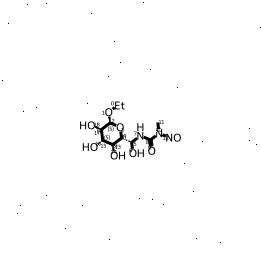 CCO[C@H]1O[C@H](C(O)NC(=O)N(C)N=O)[C@@H](O)[C@H](O)[C@H]1O